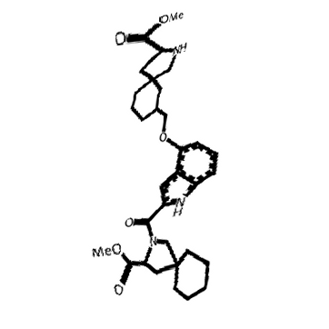 COC(=O)C1CC2(CCCC(COc3cccc4[nH]c(C(=O)N5CC6(CCCCC6)CC5C(=O)OC)cc34)C2)CN1